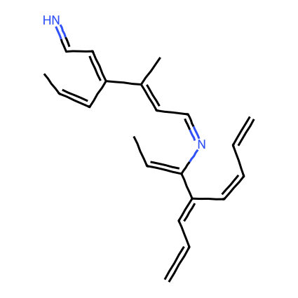 C=C\C=C/C(=C\C=C)C(=C/C)/N=C\C=C(C)\C(\C=C/C)=C\C=N